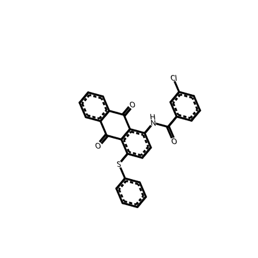 O=C(Nc1ccc(Sc2ccccc2)c2c1C(=O)c1ccccc1C2=O)c1cccc(Cl)c1